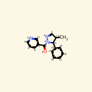 CC1C=NN(C(=O)c2cccnc2)C1c1ccccc1